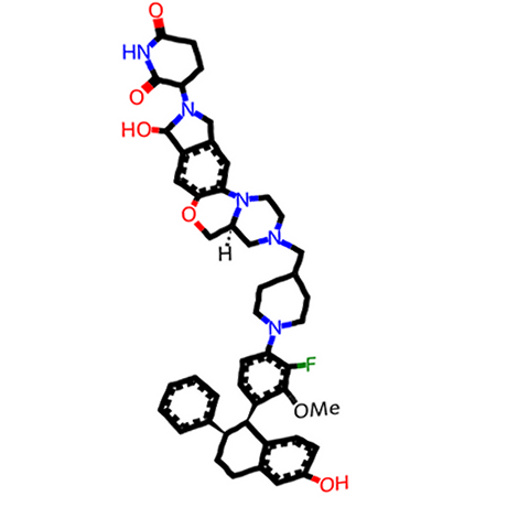 COc1c([C@H]2c3ccc(O)cc3CC[C@H]2c2ccccc2)ccc(N2CCC(CN3CCN4c5cc6c(cc5OC[C@@H]4C3)C(O)N(C3CCC(=O)NC3=O)C6)CC2)c1F